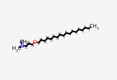 CCCCCCCCCCCCCCCCCCOCCCN(C)C